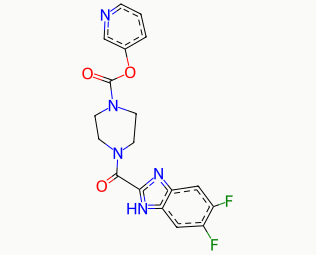 O=C(Oc1cccnc1)N1CCN(C(=O)c2nc3cc(F)c(F)cc3[nH]2)CC1